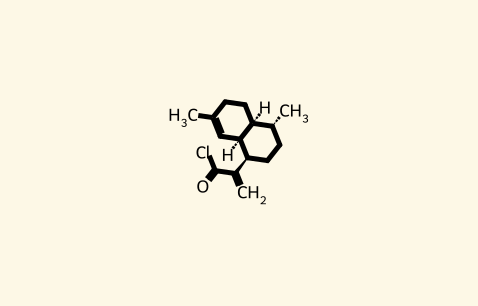 C=C(C(=O)Cl)[C@@H]1CC[C@@H](C)[C@@H]2CCC(C)=C[C@@H]21